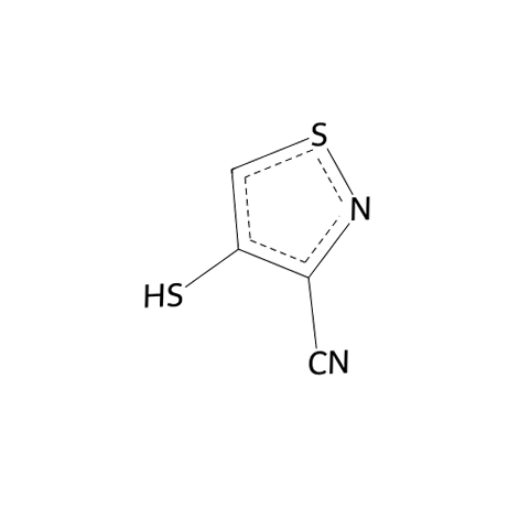 N#Cc1nscc1S